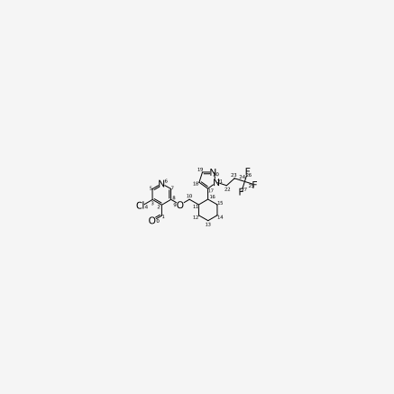 O=Cc1c(Cl)cncc1OCC1CCCCC1c1ccnn1CCC(F)(F)F